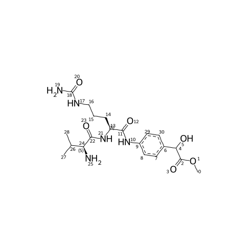 COC(=O)C(O)c1ccc(NC(=O)[C@H](CCCNC(N)=O)NC(=O)[C@@H](N)C(C)C)cc1